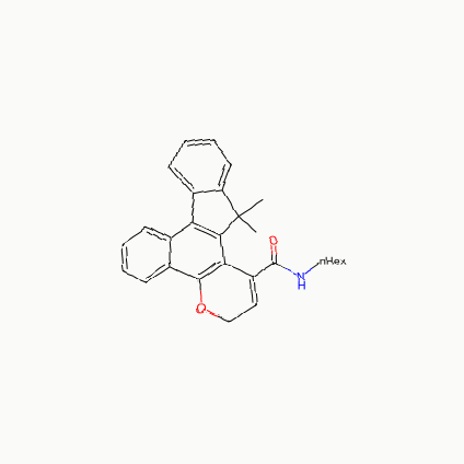 CCCCCCNC(=O)C1=CCOc2c1c1c(c3ccccc23)-c2ccccc2C1(C)C